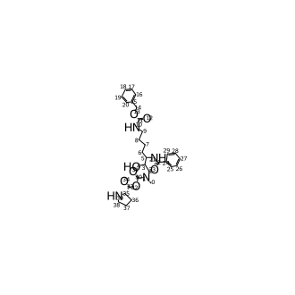 CN(CC(O)C(CCCCNC(=O)OCc1ccccc1)NC(=O)c1ccccc1)C(=O)OC(=O)[C@@H]1CCCN1